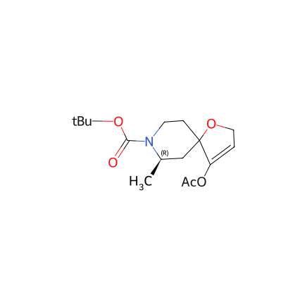 CC(=O)OC1=CCOC12CCN(C(=O)OC(C)(C)C)[C@H](C)C2